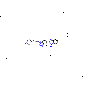 Cc1c(F)ccc2[nH]c(-c3ccc4c(ncn4CCCC4CCN(C)CC4)c3C)nc12